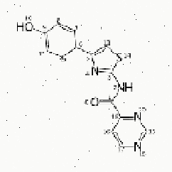 O=C(Nc1nc(C2C=CC(O)=CC2)cs1)c1ccncn1